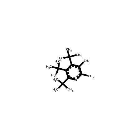 Cc1nc(C(C)(C)C)c(C(C)(C)C)c(C(C)(C)C)c1C